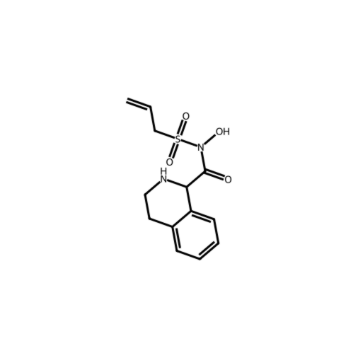 C=CCS(=O)(=O)N(O)C(=O)C1NCCc2ccccc21